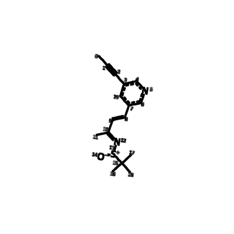 CC#Cc1cncc(C=CC(C)=N[S@+]([O-])C(C)(C)C)c1